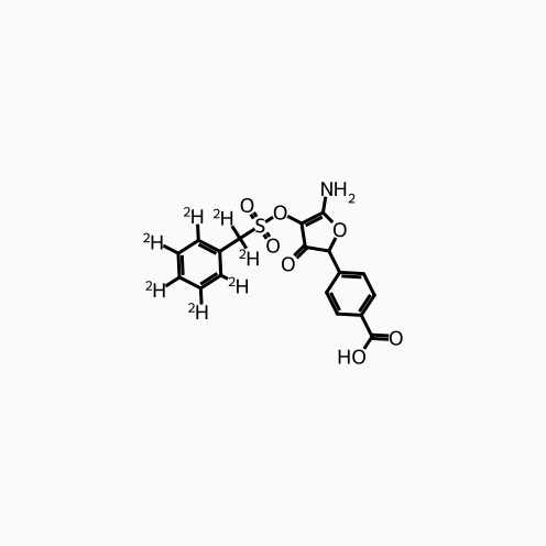 [2H]c1c([2H])c([2H])c(C([2H])([2H])S(=O)(=O)OC2=C(N)OC(c3ccc(C(=O)O)cc3)C2=O)c([2H])c1[2H]